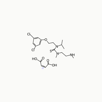 CNCCN(C)C(=S)N(CCOc1cc(Cl)cc(Cl)c1)C(C)C.O=C(O)/C=C\C(=O)O